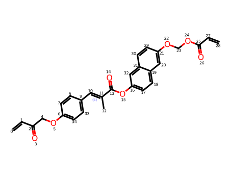 C=CC(=O)COc1ccc(/C=C(\C)C(=O)Oc2ccc3cc(OCOC(=O)C=C)ccc3c2)cc1